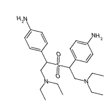 CCN(CC)CC(c1ccc(N)cc1)S(=O)(=O)C(CN(CC)CC)c1ccc(N)cc1